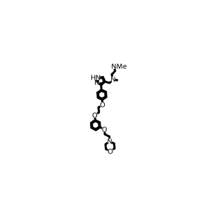 CNCCN(C)Cc1c[nH]nc1-c1ccc(OCCOc2cccc(OCCN3CCOCC3)c2)cc1